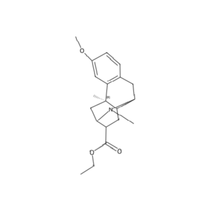 CCOC(=O)C1CC2C3Cc4ccc(OC)cc4[C@]2(C)CC1N3C